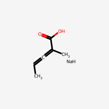 CC=C=C(C)C(=O)O.[NaH]